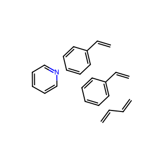 C=CC=C.C=Cc1ccccc1.C=Cc1ccccc1.c1ccncc1